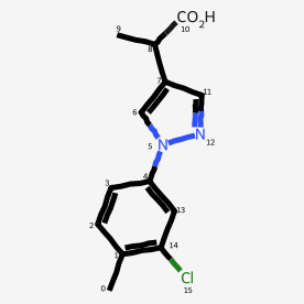 Cc1ccc(-n2cc(C(C)C(=O)O)cn2)cc1Cl